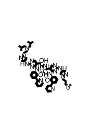 COc1c(Nc2nc(Nc3cnn(CCCN(C)C)c3)ncc2C(=O)NNC(O)c2cnc(Nc3cnn(CCN(CC(C)C)CC(C)C)c3)nc2Nc2cccc(-c3ccccn3)c2OC)cccc1-c1ccccn1